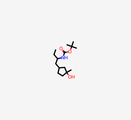 CCC(CC1CCC(C)(O)C1)NC(=O)OC(C)(C)C